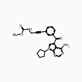 CC(C)(C)OC(=O)NCC#Cc1cccc(C(=O)c2cn(C3CCCC3)c3ncnc(N)c23)c1